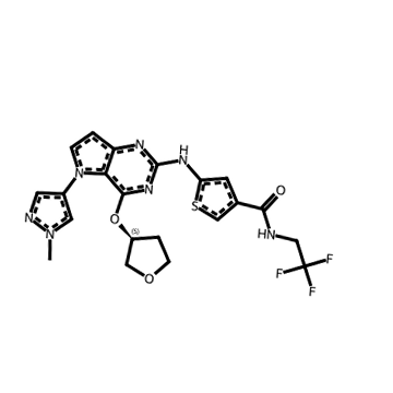 Cn1cc(-n2ccc3nc(Nc4cc(C(=O)NCC(F)(F)F)cs4)nc(O[C@H]4CCOC4)c32)cn1